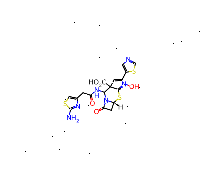 Nc1nc(CC(=O)NC2N3C(=O)C[C@H]3SC(=NO)C2(C=Cc2cncs2)C(=O)O)cs1